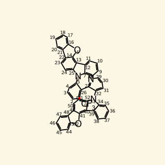 FC(F)(F)c1cccc(-n2c3ccccc3c3c4oc5ccccc5c4ccc32)c1-c1ncccc1-n1c2ccccc2c2c3oc4ccccc4c3ccc21